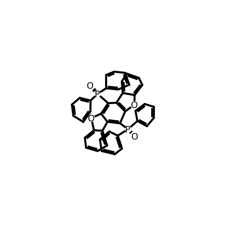 O=P(c1ccccc1)(c1ccccc1)c1c2oc3ccccc3c2c(P(=O)(c2ccccc2)c2ccccc2)c2oc3ccccc3c12